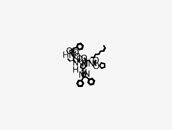 C/C=C\CCCCC[C@H](NC(=O)OC1CCCC1)C(=O)N1C[C@H](n2nc(-c3ccccc3)c(-c3ccccc3)n2)C[C@H]1C(=O)N[C@@H](CC)C(=O)NS(=O)(=O)Cc1ccccc1